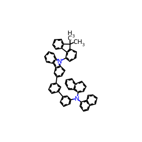 CC1(C)c2ccccc2-c2c(-n3c4ccccc4c4cc(-c5cccc(-c6cccc(N(c7cccc8ccccc78)c7cccc8ccccc78)c6)c5)ccc43)cccc21